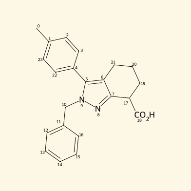 Cc1ccc(-c2c3c(nn2Cc2ccccc2)C(C(=O)O)CCC3)cc1